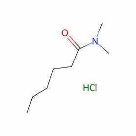 CCCCCC(=O)N(C)C.Cl